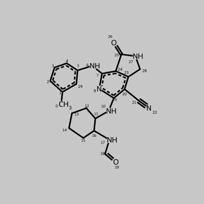 Cc1cccc(Nc2nc(NC3CCCCC3NC=O)c(C#N)c3c2C(=O)NC3)c1